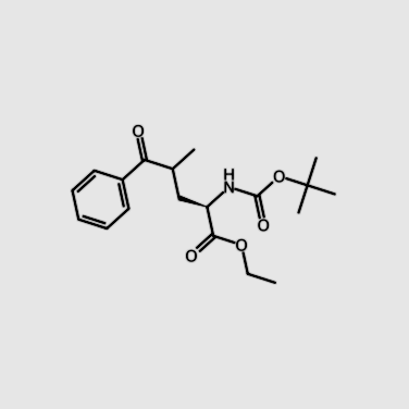 CCOC(=O)[C@@H](CC(C)C(=O)c1ccccc1)NC(=O)OC(C)(C)C